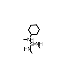 CN[SiH](NC)N(C)C1CCCCC1